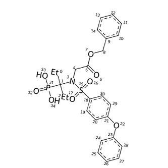 CCC(CC)(N(CC(=O)OCc1ccccc1)S(=O)(=O)c1ccc(Oc2ccccc2)cc1)P(=O)(O)O